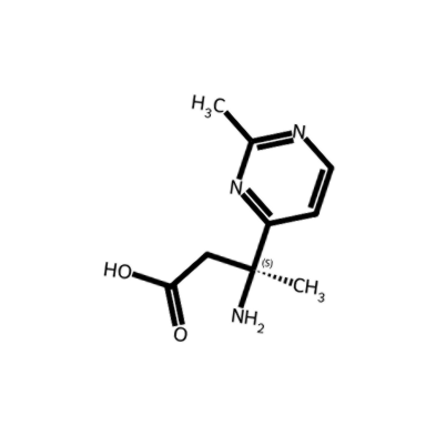 Cc1nccc([C@@](C)(N)CC(=O)O)n1